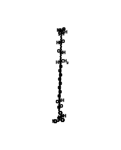 C=C(CCCCCNC(=O)CCCCCNC(=O)CCCC[C@@H]1SC[C@@H]2NC(=O)N[C@@H]21)NCCOCCOCCOCCOCCOCCOCCOCCOCCNC(=O)CCC(=O)OCCc1ccc(Nc2nnc(Cc3ccncc3)c3ccccc23)cc1